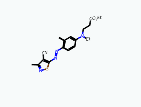 CCOC(=O)CCN(CC)c1ccc(/N=N/c2snc(C)c2C#N)c(C)c1